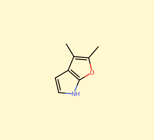 Cc1oc2[nH]ccc2c1C